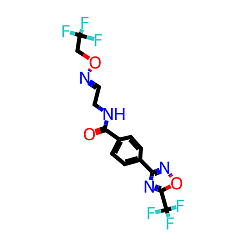 O=C(NCC=NOCC(F)(F)F)c1ccc(-c2noc(C(F)(F)F)n2)cc1